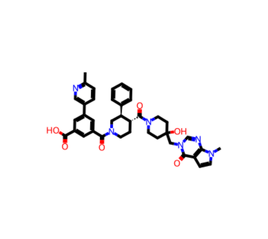 Cc1ccc(-c2cc(C(=O)O)cc(C(=O)N3CC[C@@H](C(=O)N4CCC(O)(Cn5cnc6c(ccn6C)c5=O)CC4)[C@H](c4ccccc4)C3)c2)cn1